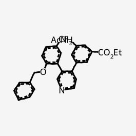 CCOC(=O)c1cc(NC(C)=O)cc(-c2ccncc2-c2cc(C(F)(F)F)ccc2OCc2ccccc2)c1